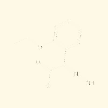 CCOc1ccccc1C(=[N+]=N)C(=O)[O-]